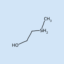 C[SiH2]CCO